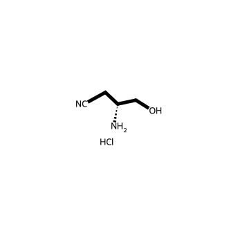 Cl.N#CC[C@@H](N)CO